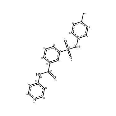 Cc1ccc(NS(=O)(=O)c2cccc(C(=O)Nc3ccncc3)c2)cc1